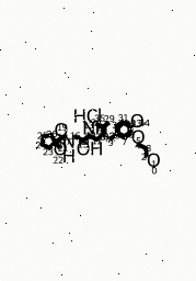 COCCCOc1cc(C[C@@H](C[C@H](N)[C@@H](O)CNC(=O)C2(OC)CCCC2)C(C)C)ccc1OC.Cl